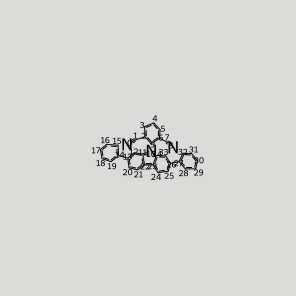 N#Cc1cccc(C#N)c1-n1c2cc(-c3ccccc3)ccc2c2ccc(-c3ccccc3)cc21